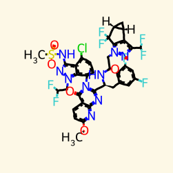 COc1ccc2c(=O)n(-c3ccc(Cl)c4c(NS(C)(=O)=O)nn(CC(F)F)c34)c([C@H](Cc3cc(F)cc(F)c3)NC(=O)Cn3nc(C(F)F)c4c3C(F)(F)[C@@H]3C[C@H]43)nc2n1